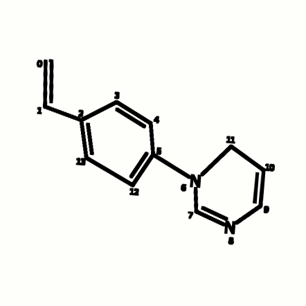 [CH]=Cc1ccc(N2C=NC=CC2)cc1